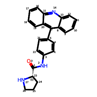 O=C(Nc1ccc(-c2c3ccccc3nc3ccccc23)cc1)[C@@H]1CCCN1